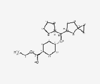 CCOC(=O)[C@H]1CC[C@H](OC(N2CCCC2)N2CCC3(CC3)C2)CC1